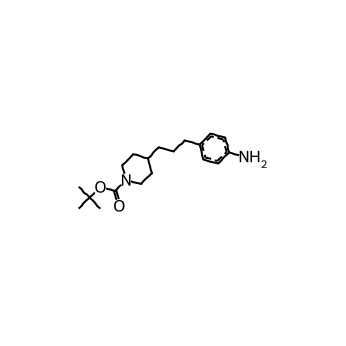 CC(C)(C)OC(=O)N1CCC(CCCc2ccc(N)cc2)CC1